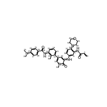 C=CC(=O)Nc1cc(Nc2cc(-c3cccc(NC(=O)c4ccc(N(C)C)cc4)c3C)cn(C)c2=O)ccc1N1CCOCC1